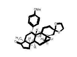 COc1ccc([C@H]2C[C@]3(C)C(=O)C=C[C@@H]3[C@@H]3C[C@@H]4O[C@]45CC4(CC[C@@H]5[C@H]32)OCCO4)cc1